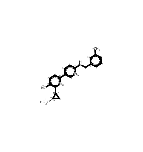 Cc1cccc(CNc2ccc(-c3ccc(C#N)c([C@H]4C[C@@H]4C(=O)O)n3)cn2)c1